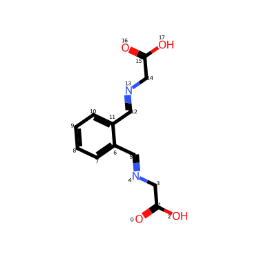 O=C(O)C/N=C/c1ccccc1/C=N/CC(=O)O